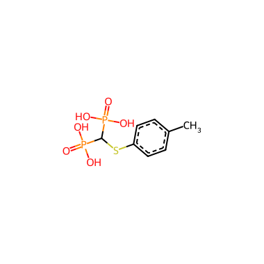 Cc1ccc(SC(P(=O)(O)O)P(=O)(O)O)cc1